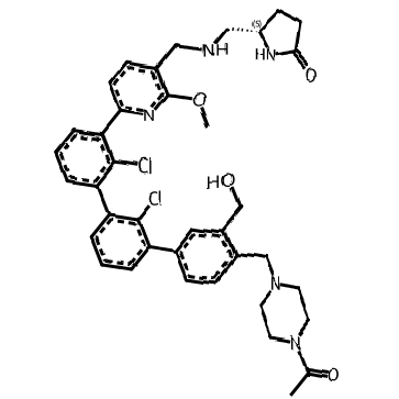 COc1nc(-c2cccc(-c3cccc(-c4ccc(CN5CCN(C(C)=O)CC5)c(CO)c4)c3Cl)c2Cl)ccc1CNC[C@@H]1CCC(=O)N1